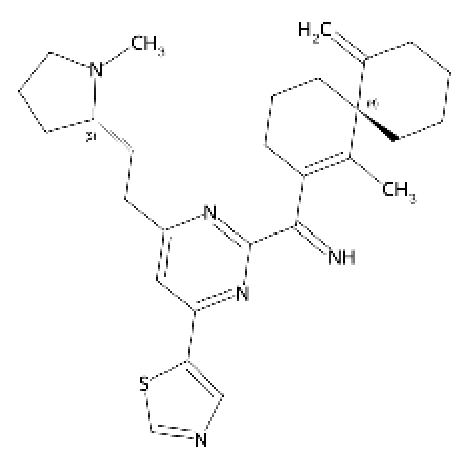 C=C1CCCC[C@@]12CCCC(C(=N)c1nc(CC[C@@H]3CCCN3C)cc(-c3cncs3)n1)=C2C